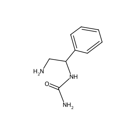 NCC(NC(N)=O)c1ccccc1